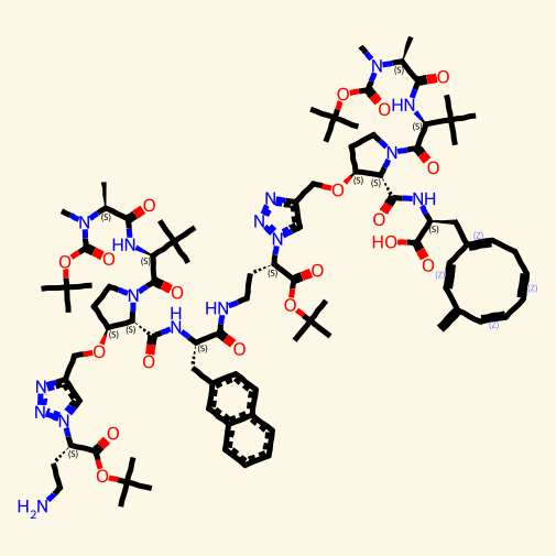 C=C1/C=C\C=C/C/C=C(C[C@H](NC(=O)[C@@H]2[C@@H](OCc3cn([C@@H](CCNC(=O)[C@H](Cc4ccc5ccccc5c4)NC(=O)[C@@H]4[C@@H](OCc5cn([C@@H](CCN)C(=O)OC(C)(C)C)nn5)CCN4C(=O)[C@@H](NC(=O)[C@H](C)N(C)C(=O)OC(C)(C)C)C(C)(C)C)C(=O)OC(C)(C)C)nn3)CCN2C(=O)[C@@H](NC(=O)[C@H](C)N(C)C(=O)OC(C)(C)C)C(C)(C)C)C(=O)O)\C=C/1